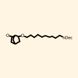 [CH2]CCCCCCCCCCCCCCCCCCCOC1CC2CCC1C([O])C2